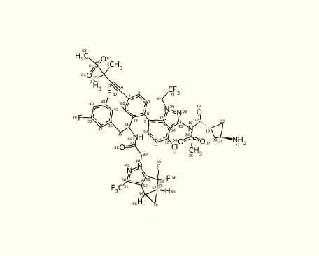 CC(C)(C#Cc1ccc(-c2ccc(Cl)c3c(N(C(=O)[C@H]4C[C@H](N)C4)S(C)(=O)=O)nn(CC(F)(F)F)c23)c(C(Cc2cc(F)cc(F)c2)NC(=O)Cn2nc(C(F)(F)F)c3c2C(F)(F)[C@@H]2C[C@H]32)n1)S(C)(=O)=O